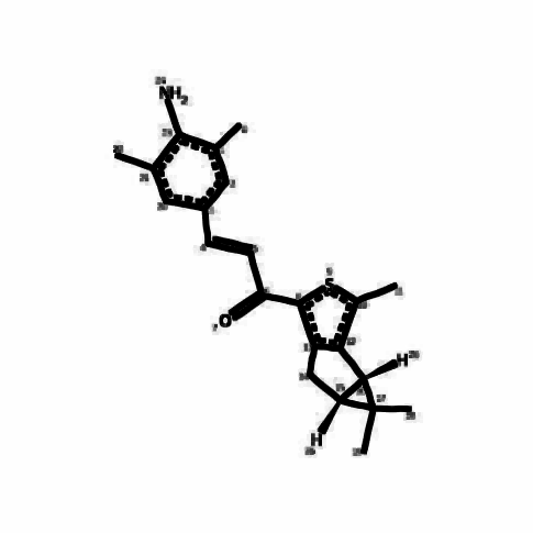 Cc1cc(/C=C/C(=O)c2sc(C)c3c2C[C@@H]2[C@H]3C2(C)C)cc(C)c1N